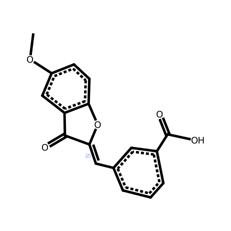 COc1ccc2c(c1)C(=O)/C(=C/c1cccc(C(=O)O)c1)O2